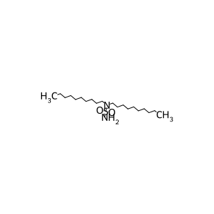 CCCCCCCCCCN(CCCCCCCCCC)S(N)(=O)=O